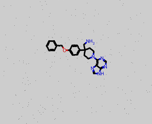 NCC1(c2ccc(OCc3ccccc3)cc2)CCN(c2ncnc3[nH]cnc23)CC1